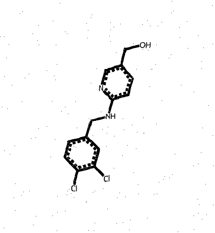 OCc1ccc(NCc2ccc(Cl)c(Cl)c2)nc1